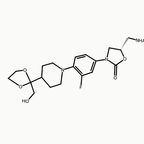 CC(=O)NC[C@H]1CN(c2ccc(N3CCC(C4(CO)OCCO4)CC3)c(F)c2)C(=O)O1